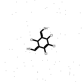 S/C=C1\C(Cl)C(Cl)=C(Cl)/C(=C/S)C1Cl